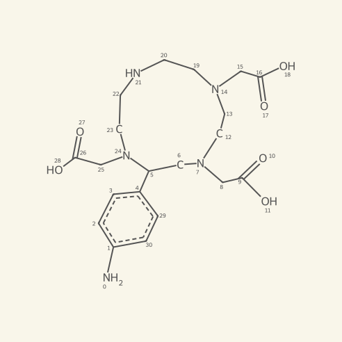 Nc1ccc(C2CN(CC(=O)O)CCN(CC(=O)O)CCNCCN2CC(=O)O)cc1